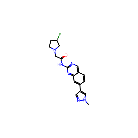 Cn1cc(-c2ccc3cnc(NC(=O)CN4CC[C@@H](F)C4)nc3c2)cn1